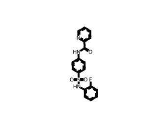 O=C(Nc1ccc(S(=O)(=O)Nc2ccccc2F)cc1)c1ccccn1